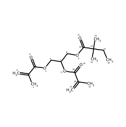 C=C(C)C(=O)OCC(COC(=O)C(C)(C)CC)OC(=O)C(=C)C